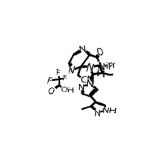 Cc1n[nH]cc1-c1cnn(C2C(C)CN2C2(CC#N)N=CC=NC2C(=O)NC(C)C)c1.O=C(O)C(F)(F)F